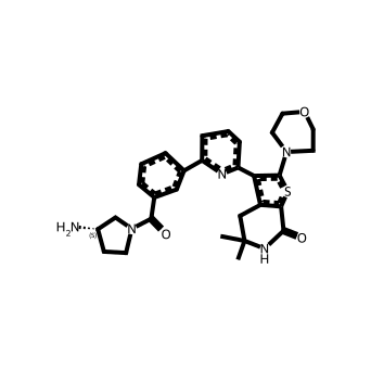 CC1(C)Cc2c(sc(N3CCOCC3)c2-c2cccc(-c3cccc(C(=O)N4CC[C@H](N)C4)c3)n2)C(=O)N1